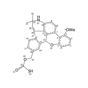 COc1cccc2c1-c1ccc3c(c1C(c1cccc(COC(=O)S)c1)O2)C(C)=CC(C)(C)N3